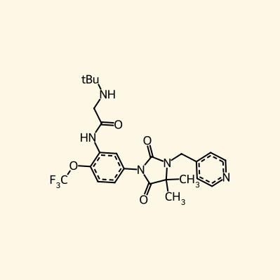 CC(C)(C)NCC(=O)Nc1cc(N2C(=O)N(Cc3ccncc3)C(C)(C)C2=O)ccc1OC(F)(F)F